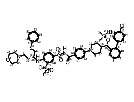 CC(C)(C)[Si](C)(C)O[C@@H](c1ccccc1-c1ccc(Cl)cc1)C1CCN(c2ccc(C(=O)NS(=O)(=O)c3ccc(N[C@H](CCN4CCOCC4)CSc4ccccc4)c(S(=O)(=O)C(F)(F)F)c3)cc2)CC1